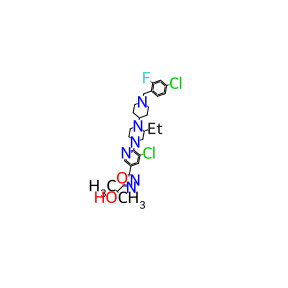 CC[C@H]1CN(c2ncc(-c3nnc(C(C)(C)O)o3)cc2Cl)CCN1C1CCN(Cc2ccc(Cl)cc2F)CC1